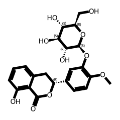 COc1ccc([C@H]2Cc3cccc(O)c3C(=O)O2)cc1O[C@@H]1O[C@H](CO)[C@@H](O)[C@H](O)[C@H]1O